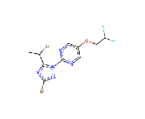 CC(Br)c1nc(Br)nn1-c1ncc(OCC(F)F)cn1